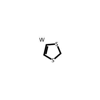 C1=CSCS1.[W]